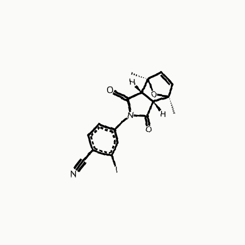 C[C@]12C=C[C@](C)(O1)[C@@H]1C(=O)N(c3ccc(C#N)c(I)c3)C(=O)[C@@H]12